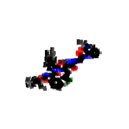 CN(C)C(=O)C(NC(=O)CNC(=O)C(=O)C(CC1CC1(F)F)NC(=O)[C@@H]1[C@@H]2[C@H](CN1C(=O)C(NC(=O)OC(C)(C)C)C1CCCCC1)C2(C)C)c1ccccc1